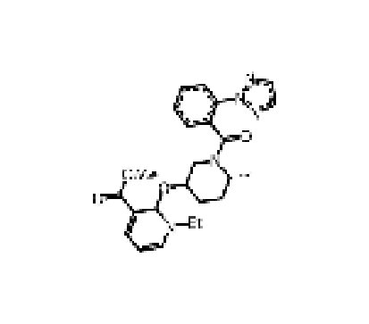 CCN1C=CC=C(C(=O)OC)C1O[C@@H]1CC[C@@H](C)N(C(=O)c2ccccc2-n2nccn2)C1